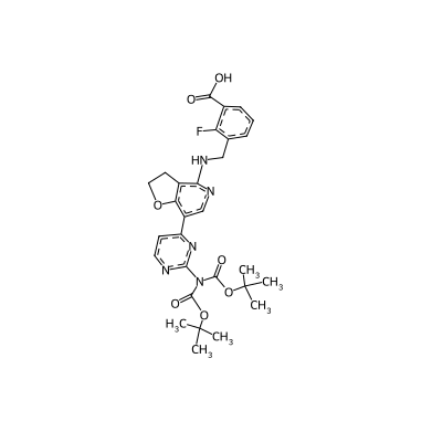 CC(C)(C)OC(=O)N(C(=O)OC(C)(C)C)c1nccc(-c2cnc(NCc3cccc(C(=O)O)c3F)c3c2OCC3)n1